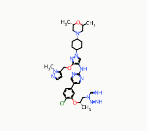 CC1CN([C@H]2CC[C@H](n3cc(Nc4ncc(-c5ccc(Cl)c(O[C@@H](C)CN(C=N)N=N)c5)cn4)c(OCc4ccnn4C)n3)CC2)C[C@H](C)O1